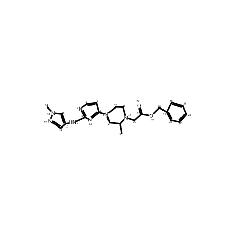 CC1CN(c2ccnc(Nc3cnn(C)c3)n2)CCN1CC(=O)OCc1ccccc1